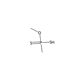 COP(C)(=S)S